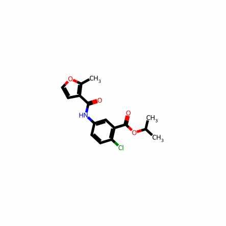 Cc1occc1C(=O)Nc1ccc(Cl)c(C(=O)OC(C)C)c1